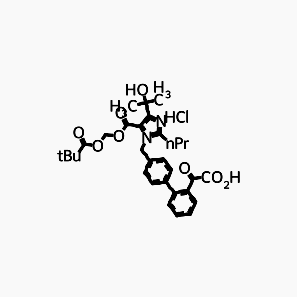 CCCc1nc(C(C)(C)O)c(C(=O)OCOC(=O)C(C)(C)C)n1Cc1ccc(-c2ccccc2C(=O)C(=O)O)cc1.Cl